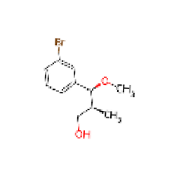 CO[C@H](c1cccc(Br)c1)[C@@H](C)CO